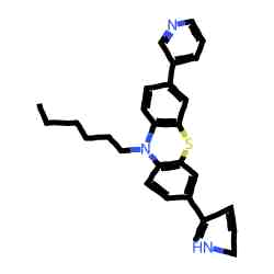 CCCCCCN1c2ccc(C3=CNCC=C3)cc2Sc2cc(-c3cccnc3)ccc21